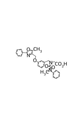 Cc1oc(-c2ccccc2)nc1COc1cccc(CN(CC(=O)O)S(=O)(=O)N(C)c2ccccc2)c1